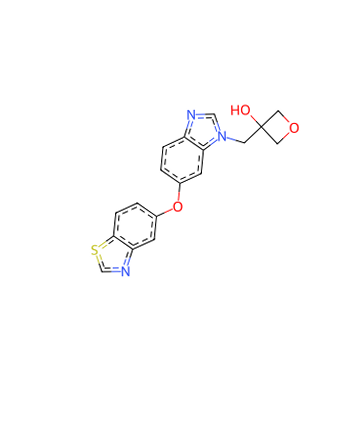 OC1(Cn2cnc3ccc(Oc4ccc5scnc5c4)cc32)COC1